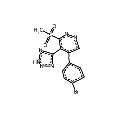 CS(=O)(=O)c1nncc(-c2ccc(Br)cc2)c1-c1nn[nH]n1